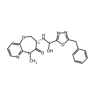 CN1C(=O)[C@@H](NC(O)c2nnc(Cc3ccccc3)o2)COc2cccnc21